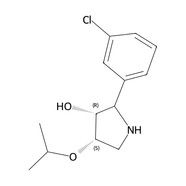 CC(C)O[C@H]1CNC(c2cccc(Cl)c2)[C@H]1O